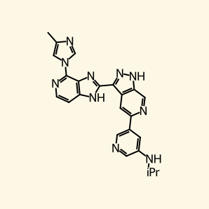 Cc1cn(-c2nccc3[nH]c(-c4n[nH]c5cnc(-c6cncc(NC(C)C)c6)cc45)nc23)cn1